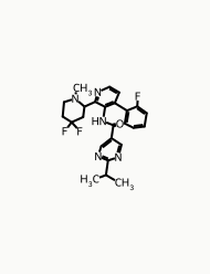 CC(C)c1ncc(C(=O)Nc2c(-c3ccccc3F)ccnc2C2CC(F)(F)CCN2C)cn1